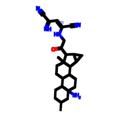 CC1CCC2C3CCC4(C)C(C(=O)CN/C(C#N)=C\C(=N)C#N)C5CC5C4C3CCC2(N)C1